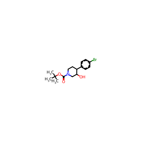 CC(C)(C)OC(=O)N1CCC(c2ccc(Br)cc2)C(O)C1